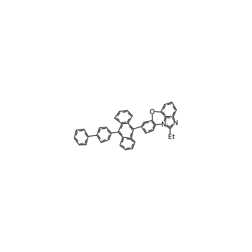 CCc1nc2cccc3c2n1-c1ccc(-c2c4ccccc4c(-c4ccc(-c5ccccc5)cc4)c4ccccc24)cc1O3